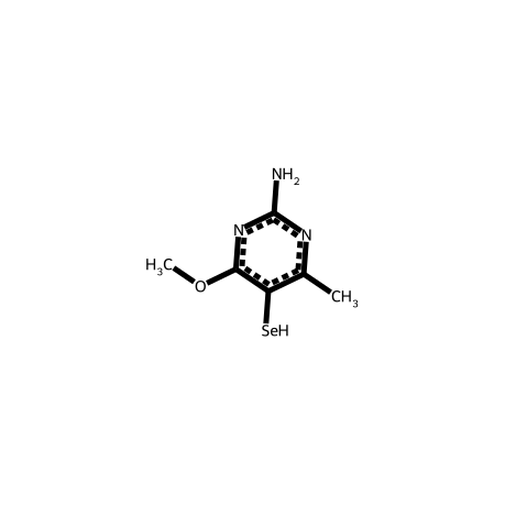 COc1nc(N)nc(C)c1[SeH]